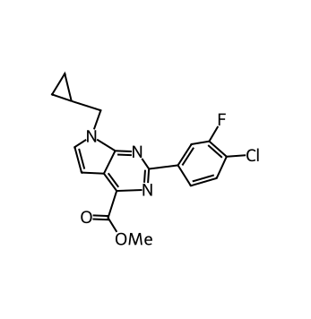 COC(=O)c1nc(-c2ccc(Cl)c(F)c2)nc2c1ccn2CC1CC1